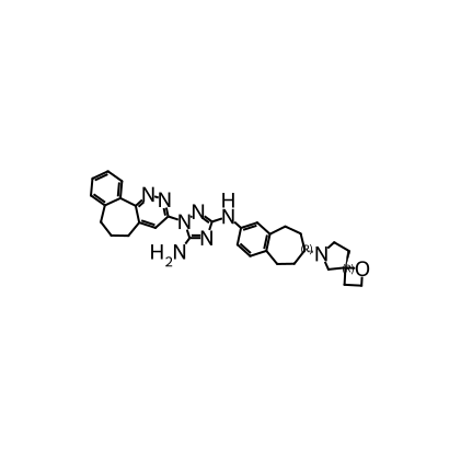 Nc1nc(Nc2ccc3c(c2)CC[C@H](N2CC[C@@]4(CCO4)C2)CC3)nn1-c1cc2c(nn1)-c1ccccc1CCC2